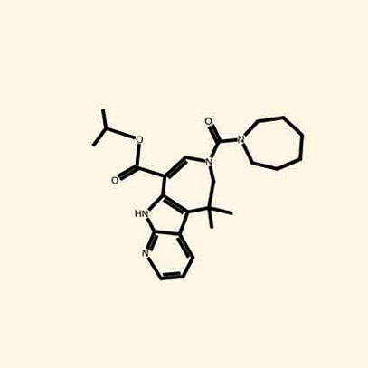 CC(C)OC(=O)C1=CN(C(=O)N2CCCCCC2)CC(C)(C)c2c1[nH]c1ncccc21